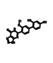 CCOc1cc(-c2ccc(O)cc2O)ccc1-c1nc2[nH]nnc2c(=O)[nH]1